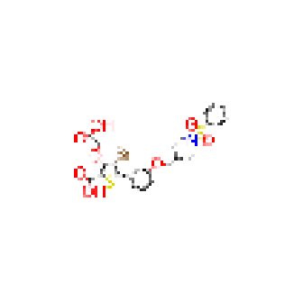 O=C(O)COc1c(C(=O)O)sc(-c2cccc(OCC3CCN(S(=O)(=O)c4ccccc4)CC3)c2)c1Br